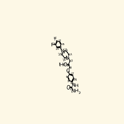 NC(=O)Nc1ccc(OC[C@@H](O)CN2CCN(c3ccc(F)c(F)c3)CC2)cc1